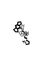 CN1CCC[C@H]1/C=C/S(=O)(=O)NC(=O)Nc1c2c(cc3c1CCC3)CCC2